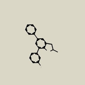 [CH2]C1Cc2cc(-c3ccccc3)cc(-c3cccc(F)c3)c2O1